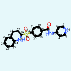 O=C(Nc1ccncc1)c1ccc(S(=O)(=O)C2CCc3ccccc3N2)cc1